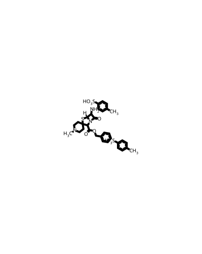 CN1CCC2(CC1)S[C@@H]1C(N)C(=O)N1C2C(=O)OCc1ccccc1.Cc1ccc(S(=O)(=O)O)cc1.Cc1ccc(S(=O)(=O)O)cc1